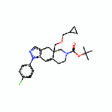 CC(C)(C)OC(=O)N1CCC2=Cc3c(cnn3-c3ccc(F)cc3)CC2(COCC2CC2)C1